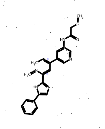 C=N/C(=C\C(=C/C)c1cncc(NC(=O)COC)c1)c1ncc(-c2ccccc2)[nH]1